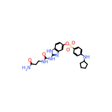 NC(=O)CCNC(=O)Nc1nc2cc(OS(=O)(=O)c3ccc(NC4CCCC4)cc3)ccc2[nH]1